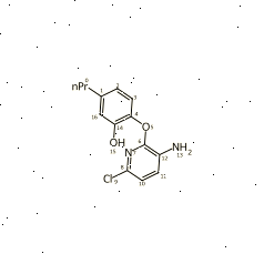 CCCc1ccc(Oc2nc(Cl)ccc2N)c(O)c1